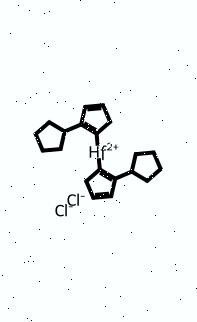 C1=CC(C2CCCC2)=[C]([Hf+2][C]2=C(C3CCCC3)C=CC2)C1.[Cl-].[Cl-]